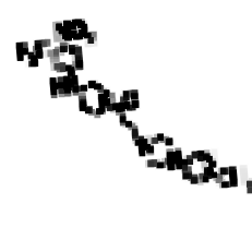 Cc1ccc(N2CCN(CCCC(=O)N3CCC(Nc4ccc([N+](=O)[O-])c(C(F)(F)F)c4)CC3)CC2)cn1